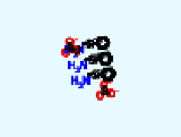 NC[Si+2]c1ccccc1.NC[Si+2]c1ccccc1.NC[Si+2]c1ccccc1.[O-]B([O-])[O-].[O-]B([O-])[O-]